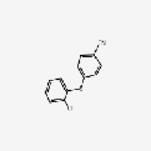 N#Cc1ccc(Sc2ccccc2Cl)cc1